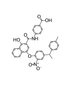 Cc1ccc(C(C)c2ccc(Oc3cc(C(=O)Nc4ccc(C(=O)O)cc4)c(O)c4ccccc34)c([N+](=O)[O-])c2)cc1